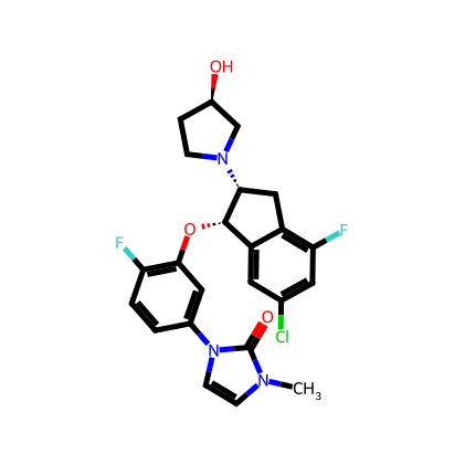 Cn1ccn(-c2ccc(F)c(O[C@H]3c4cc(Cl)cc(F)c4C[C@H]3N3CC[C@@H](O)C3)c2)c1=O